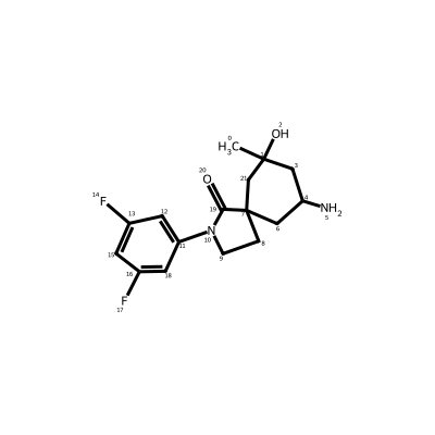 CC1(O)CC(N)CC2(CCN(c3cc(F)cc(F)c3)C2=O)C1